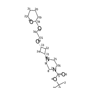 CC(C)(C)OC(=O)N1CCN([C@H]2C[C@@H](OCCOC3CCCCO3)C2)CC1